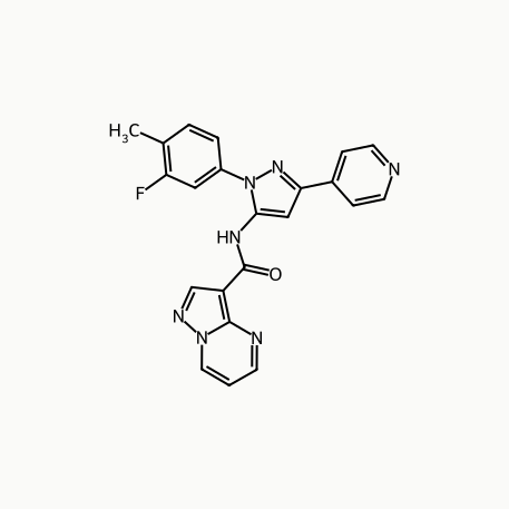 Cc1ccc(-n2nc(-c3ccncc3)cc2NC(=O)c2cnn3cccnc23)cc1F